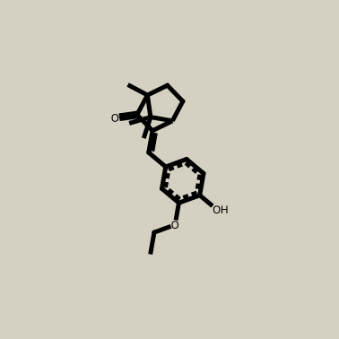 CCOc1cc(C=C2C(=O)C3(C)CCC2C3(C)C)ccc1O